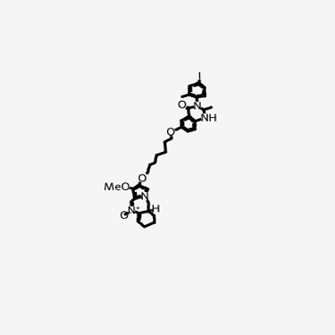 COc1c(OCCCCCCCOc2ccc3c(c2)C(=O)N(c2ccc(I)cc2C)C(C)N3)cn2c1C=[N+]([O-])C1=CCCC[C@H]1C2